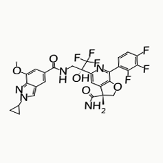 COc1cc(C(=O)NC[C@](O)(c2cc3c(c(-c4ccc(F)c(F)c4F)n2)OC[C@]3(C)C(N)=O)C(F)(F)F)cc2cn(C3CC3)nc12